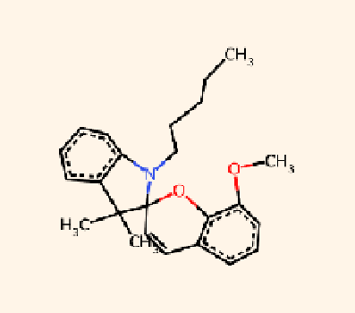 CCCCCN1c2ccccc2C(C)(C)C12C=Cc1cccc(OC)c1O2